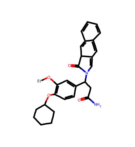 CCOc1cc(C(CC(N)=O)N2C=C3C=c4ccccc4=CC3C2=O)ccc1OC1CCCCC1